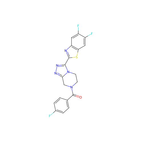 O=C(c1ccc(F)cc1)N1CCn2c(nnc2-c2nc3cc(F)c(F)cc3s2)C1